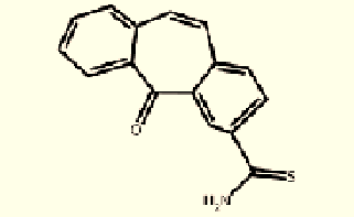 NC(=S)c1ccc2ccc3ccccc3c(=O)c2c1